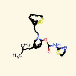 CC(C)Cc1cc(OC(=O)Nc2nccs2)n(CCc2cccs2)c1